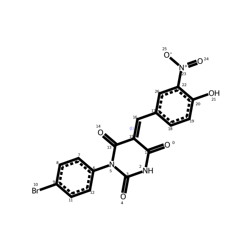 O=C1NC(=O)N(c2ccc(Br)cc2)C(=O)/C1=C/c1ccc(O)c([N+](=O)[O-])c1